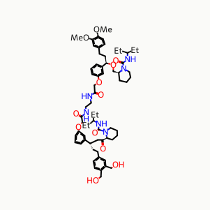 CCC(CC)NC(=O)N1CCCC[C@H]1CO[C@H](CCc1ccc(OC)c(OC)c1)c1cccc(OCC(=O)NCCNC(=O)COc2cccc([C@@H](CCc3ccc(CO)c(CO)c3)CC(=O)[C@@H]3CCCCN3C(=O)NC(CC)CC)c2)c1